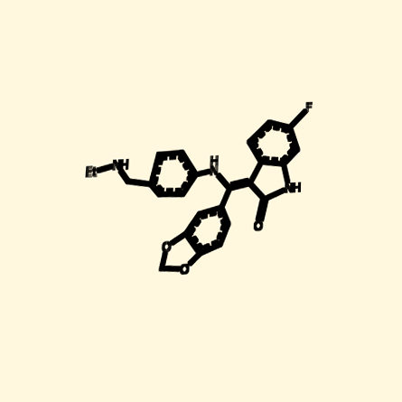 CCNCc1ccc(NC(=C2C(=O)Nc3cc(F)ccc32)c2ccc3c(c2)OCO3)cc1